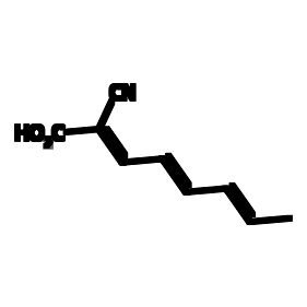 C/C=C/C=C/C=C(\C#N)C(=O)O